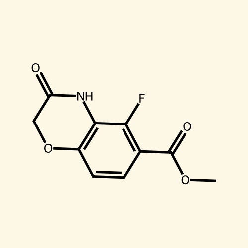 COC(=O)c1ccc2c(c1F)NC(=O)CO2